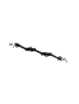 C=CC(=O)OCCCCCCCCCCOc1ccc(C(=O)Oc2ccc(OCCCCCCCCCCOc3ccc(OC(=O)c4ccc(OCCCCCCCCCCOC(=O)C=C)cc4)cc3)cc2)cc1